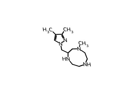 Cc1cn(CC2CN(C)CCNCCN2)nc1C